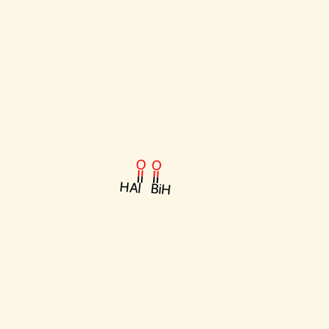 [O]=[AlH].[O]=[BiH]